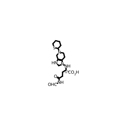 O=CNC(=O)CC[C@H](NN1CNC2=C1CCN(C1CCCCS1)C2)C(=O)O